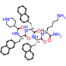 NCCCC[C@H](NC(=O)[C@H](Cc1cccc2ccccc12)NC(=O)[C@@H](Cc1ccc2ccccc2c1)NC(=O)[C@@H](Cc1ccc2ccccc2c1)NC(=O)C1CCNCC1)C(N)=O